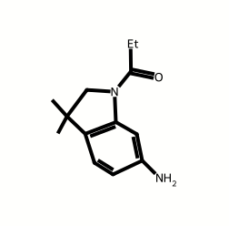 CCC(=O)N1CC(C)(C)c2ccc(N)cc21